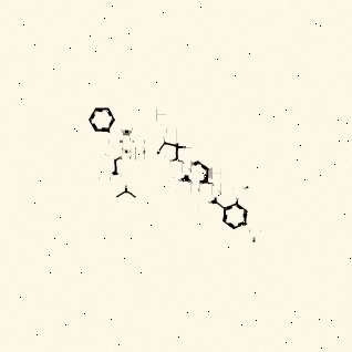 COc1ccc(C(=O)Nc2ccn(C3O[C@H](COP(=O)(N[C@H](C)C(=O)OC(C)C)Oc4ccccc4)[C@@H](O)C3(F)F)c(=O)n2)c(OC)c1